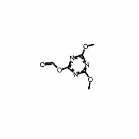 COc1nc(OC)nc(OC=O)n1